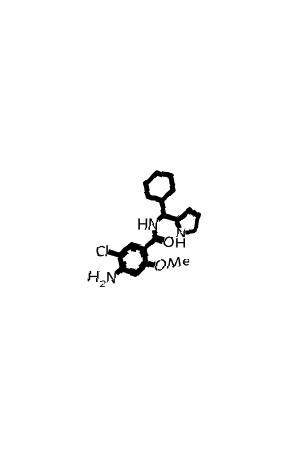 COc1cc(N)c(Cl)cc1C(=O)NC(C1CCCCC1)C1CCCN1